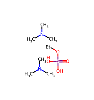 CCOP(=O)(O)O.CN(C)C.CN(C)C